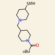 CCCCC(=O)N1CCC(CN2CCC(SC)CC2)CC1